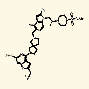 CNc1nc(N2CCC3(CCN(Cc4ccc5c(cc(C#N)n5C[C@H](C)N5CCN(S(=O)(=O)NC)CC5)c4C)C3)C2)c2cc(CC(F)(F)F)sc2n1